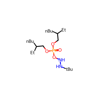 CCCCC(CC)COP(=O)(OCC(CC)CCCC)ONNC(C)(C)C